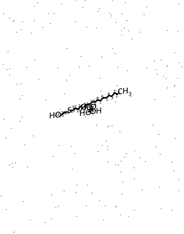 CCCCCCCCCCCCCOCCCCSCCCO.O=P(O)(O)O